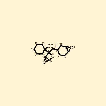 O=C(O)C1(C2(CC3CCC4OC4C3)OC3OC32)CCCCC1